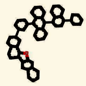 c1ccc(-c2ccc(-c3c4ccccc4c(-c4cccc(-c5ccc6ccc7c8cc9ccccc9cc8oc7c6c5)c4)c4ccccc34)c3ccccc23)cc1